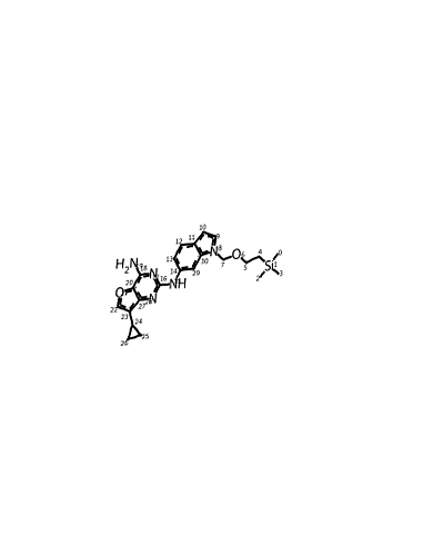 C[Si](C)(C)CCOCn1ccc2ccc(Nc3nc(N)c4occ(C5CC5)c4n3)cc21